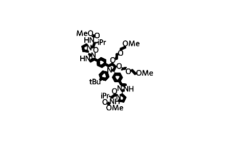 COCCOCCO[C@H]1[C@H](OCCOCCOC)C(c2ccc(-c3c[nH]c([C@@H]4CCCN4C(=O)[C@@H](NC(=O)OC)C(C)C)n3)cc2)N(c2ccc(C(C)(C)C)cc2)[C@H]1c1ccc(-c2c[nH]c([C@@H]3CCCN3C(=O)[C@@H](NC(=O)OC)C(C)C)n2)cc1